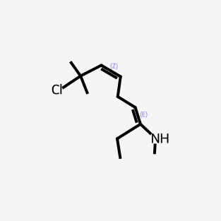 CC/C(=C\C/C=C\C(C)(C)Cl)NC